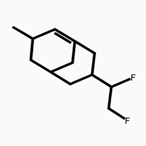 CC1C=C2CC(C1)CC(C(F)CF)C2